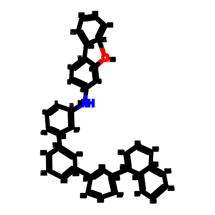 c1cc(Nc2ccc3c(c2)oc2ccccc23)cc(-c2cccc(-c3cccc(-c4cccc5ccccc45)c3)c2)c1